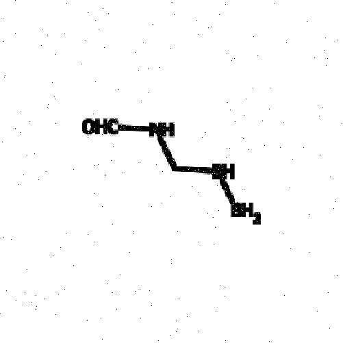 BBCNC=O